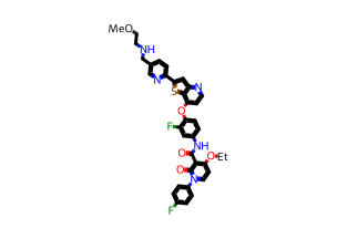 CCOc1ccn(-c2ccc(F)cc2)c(=O)c1C(=O)Nc1ccc(Oc2ccnc3cc(-c4ccc(CNCCOC)cn4)sc23)c(F)c1